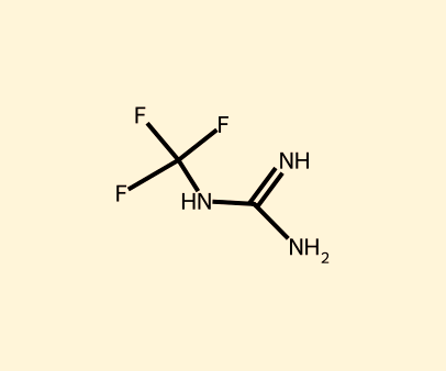 N=C(N)NC(F)(F)F